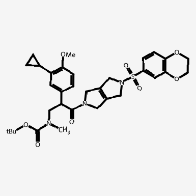 COc1ccc(C(CN(C)C(=O)OC(C)(C)C)C(=O)N2CC3=C(C2)CN(S(=O)(=O)c2ccc4c(c2)OCCO4)C3)cc1C1CC1